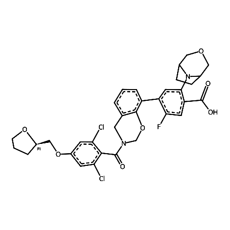 O=C(O)c1cc(F)c(-c2cccc3c2OCN(C(=O)c2c(Cl)cc(OC[C@H]4CCCO4)cc2Cl)C3)cc1N1C2CCC1COC2